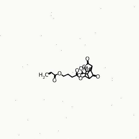 C=CC(=O)OCCCC(=O)OC1C2OC(=O)C3C2C(=O)C1C3C(=O)OC